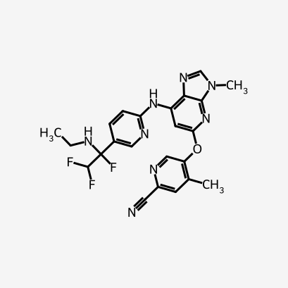 CCNC(F)(c1ccc(Nc2cc(Oc3cnc(C#N)cc3C)nc3c2ncn3C)nc1)C(F)F